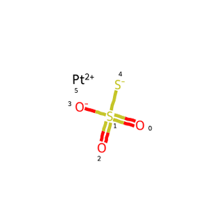 O=S(=O)([O-])[S-].[Pt+2]